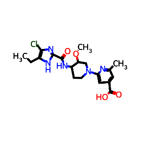 CCc1[nH]c(C(=O)NC2CCN(c3cc(C(=O)O)cc(C)n3)CC2OC)nc1Cl